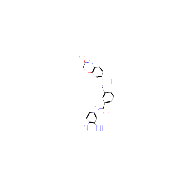 Nc1ccc(NC(=O)c2cccc(CNc3ccc4c(c3)OCC(=O)N4)c2)cc1N